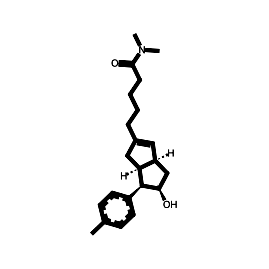 Cc1ccc([C@H]2[C@H]3CC(CCCCC(=O)N(C)C)=C[C@H]3C[C@H]2O)cc1